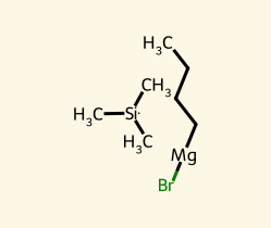 CCC[CH2][Mg][Br].C[Si](C)C